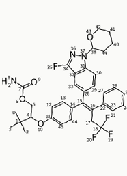 CC(C)(C)C(COC(N)=O)Oc1ccc(C(=C(CC(F)(F)F)c2ccccc2)c2ccc3c(c2)c(F)nn3C2CCCCO2)cc1